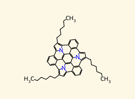 CCCCCCc1cc2c3cccc4c3c3c5c6c7c(cccc7c1n25)c1cc(CCCCCC)c2c5cccc7c5c(c3n3c7cc(CCCCCC)c43)c6n12